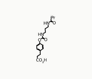 CC(C)C(=O)NCCCNC(=O)Oc1ccc(CCC(=O)O)cc1